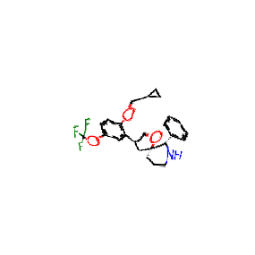 FC(F)(F)Oc1ccc(OCC2CC2)c([C@H]2CO[C@]3(CCCN[C@H]3c3ccccc3)C2)c1